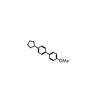 COc1ccc(-c2ccc([C]3CCCC3)cc2)cc1